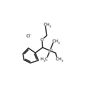 CCOC(c1ccccc1)[N+](C)(C)CC.[Cl-]